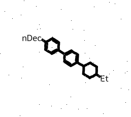 CCCCCCCCCCc1ccc(-c2ccc(C3CCC(CC)CC3)cc2)cc1